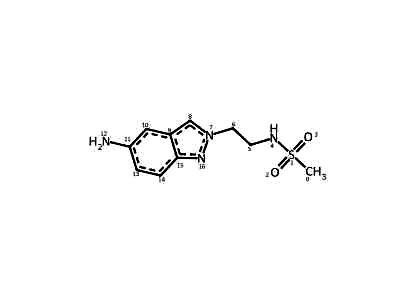 CS(=O)(=O)NCCn1cc2cc(N)ccc2n1